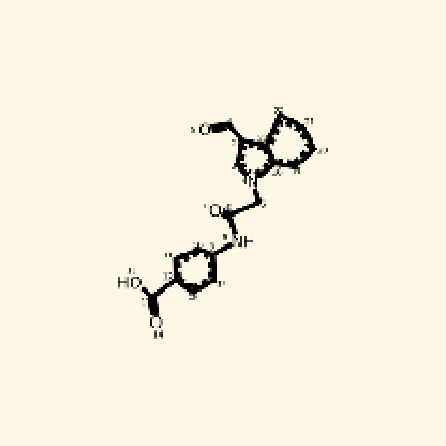 O=Cc1cn(CC(=O)Nc2ccc(C(=O)O)cc2)c2ccccc12